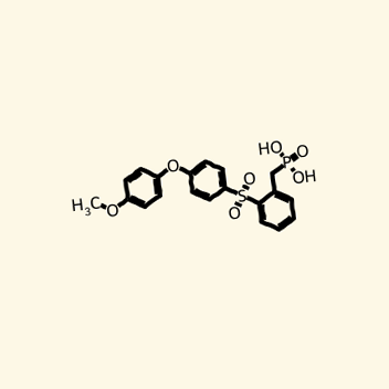 COc1ccc(Oc2ccc(S(=O)(=O)c3ccccc3CP(=O)(O)O)cc2)cc1